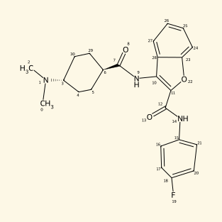 CN(C)[C@H]1CC[C@H](C(=O)Nc2c(C(=O)Nc3ccc(F)cc3)oc3ccccc23)CC1